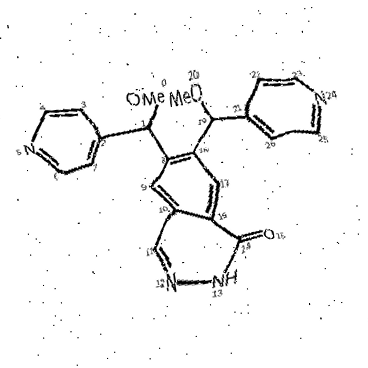 COC(c1ccncc1)c1cc2cn[nH]c(=O)c2cc1C(OC)c1ccncc1